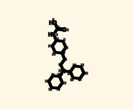 O=C(O)NC1CCC(CCN(C2CCCCC2)C2CCCCC2)CC1